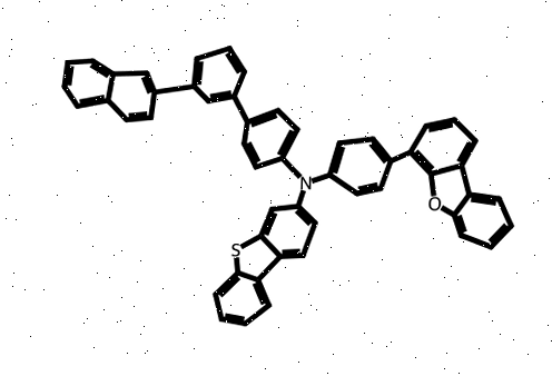 c1cc(-c2ccc(N(c3ccc(-c4cccc5c4oc4ccccc45)cc3)c3ccc4c(c3)sc3ccccc34)cc2)cc(-c2ccc3ccccc3c2)c1